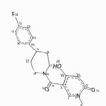 Cn1cc(C(=O)N2CCC(c3ccc(F)cc3)CC2)c(O)cc1=O